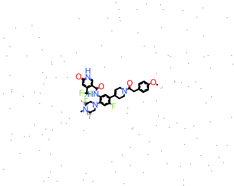 COc1ccc(CC(=O)N2CC=C(c3cc(NC(=O)c4c[nH]c(=O)cc4C(F)(F)F)c(N4C[C@@H](C)N(C)[C@@H](C)C4)cc3F)CC2)cc1